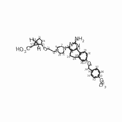 Nc1nc2c(c(N3CCN(CCOC4CC[C@H]5C(C(=O)O)[C@@H]45)CC3)n1)CCc1cc(OCc3ccc(OC(F)(F)F)cc3)ccc1-2